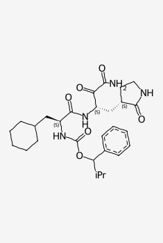 CC(C)C(OC(=O)N[C@@H](CC1CCCCC1)C(=O)N[C@@H](C[C@@H]1CCNC1=O)C(=O)C(N)=O)c1ccccc1